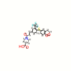 O=C(O)C1CCN(C(=O)/C=C/c2ccc(Sc3ccc4c(c3)CCOO4)c(C(F)(F)F)c2)CC1